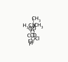 CCCCN(C)C(=O)C(C)Oc1ccc(Oc2c(Cl)cc(C(F)(F)F)cc2Cl)cc1